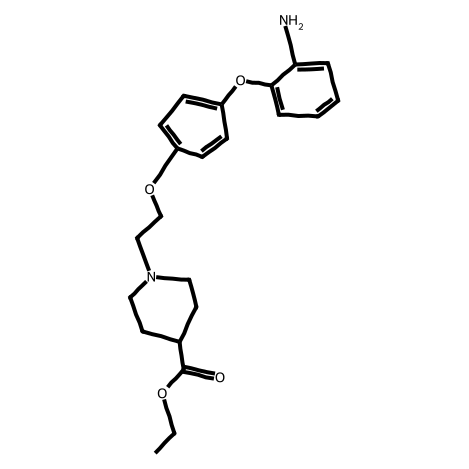 CCOC(=O)C1CCN(CCOc2ccc(Oc3ccccc3N)cc2)CC1